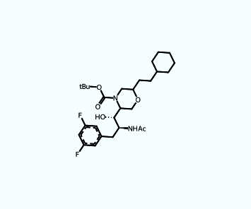 CC(=O)N[C@@H](Cc1cc(F)cc(F)c1)[C@H](O)C1COC(CCC2CCCCC2)CN1C(=O)OC(C)(C)C